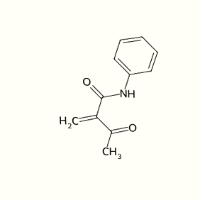 C=C(C(C)=O)C(=O)Nc1ccccc1